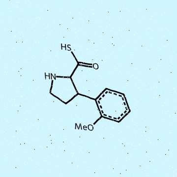 COc1ccccc1C1CCNC1C(=O)S